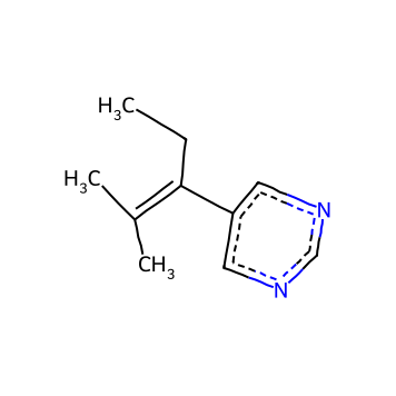 CCC(=C(C)C)c1cncnc1